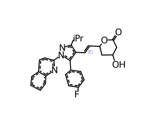 CC(C)c1nn(-c2ccc3ccccc3n2)c(-c2ccc(F)cc2)c1/C=C/C1CC(O)CC(=O)O1